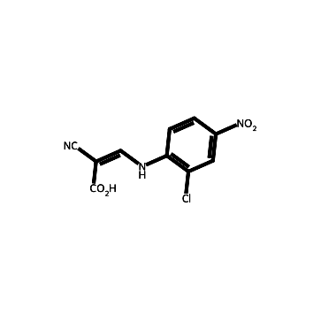 N#C/C(=C/Nc1ccc([N+](=O)[O-])cc1Cl)C(=O)O